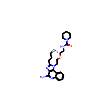 CCCCc1nc2c(N)nc3ccccc3c2n1CCOCCNC(=O)N1CCCCC1